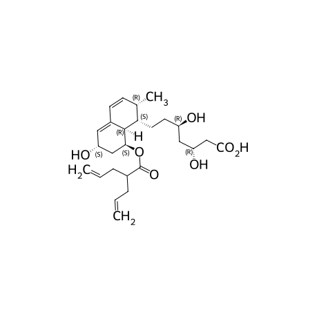 C=CCC(CC=C)C(=O)O[C@H]1C[C@H](O)C=C2C=C[C@H](C)[C@H](CC[C@@H](O)C[C@@H](O)CC(=O)O)[C@H]21